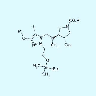 CCOc1nn(CCO[Si](C)(C)C(C)(C)C)c(CN(C)[C@H]2CN(C(=O)O)C[C@@H]2O)c1I